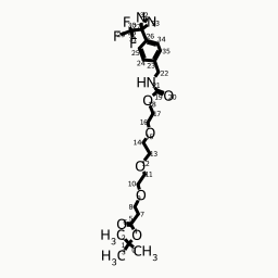 CC(C)(C)OC(=O)CCOCCOCCOCCOC(=O)NCc1ccc(C2(C(F)(F)F)N=N2)cc1